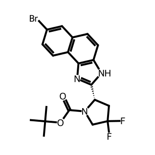 CC(C)(C)OC(=O)N1CC(F)(F)C[C@H]1c1nc2c(ccc3cc(Br)ccc32)[nH]1